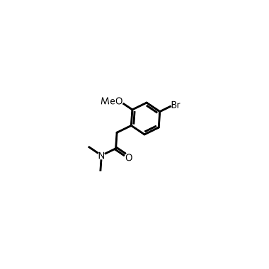 COc1cc(Br)ccc1CC(=O)N(C)C